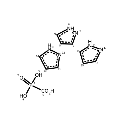 O=C(O)P(=O)(O)O.c1cn[nH]c1.c1cn[nH]c1.c1cn[nH]c1